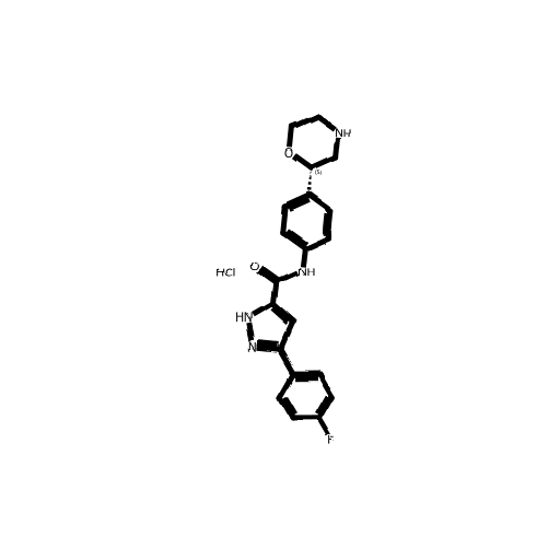 Cl.O=C(Nc1ccc([C@H]2CNCCO2)cc1)c1cc(-c2ccc(F)cc2)n[nH]1